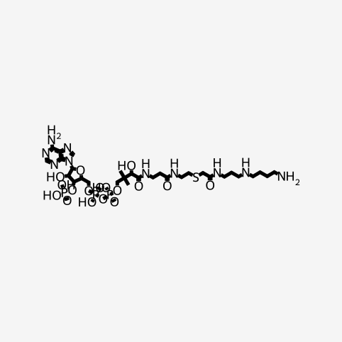 CC(C)(COP(=O)(O)OP(=O)(O)OCC1OC(n2cnc3c(N)ncnc32)C(O)C1OP(=O)(O)O)C(O)C(=O)NCCC(=O)NCCSCC(=O)NCCCNCCCCN